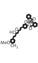 COc1cc(/C=C/C(O)=C/C(=O)/C=C/c2ccc(OC(=O)c3ccccc3OC(=O)c3ccccc3C)c(OC)c2)ccc1C